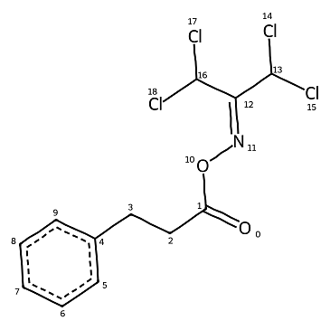 O=C(CCc1ccccc1)ON=C(C(Cl)Cl)C(Cl)Cl